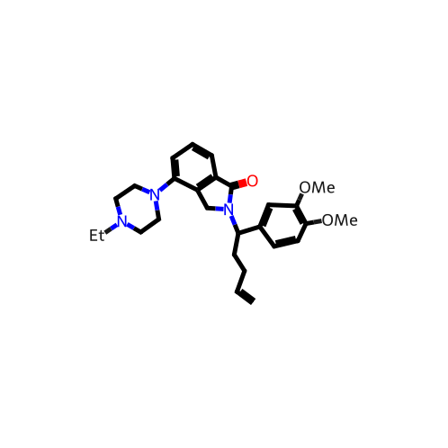 C=CCCC(c1ccc(OC)c(OC)c1)N1Cc2c(cccc2N2CCN(CC)CC2)C1=O